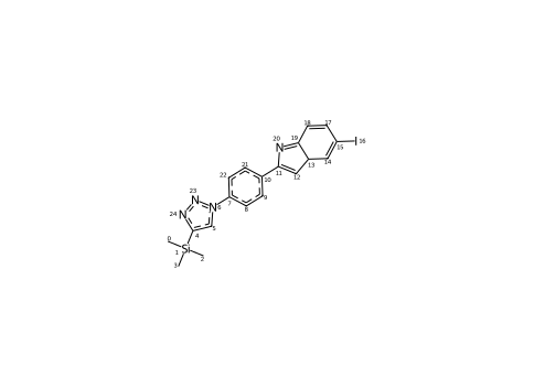 C[Si](C)(C)c1cn(-c2ccc(C3=CC4C=C(I)C=CC4=N3)cc2)nn1